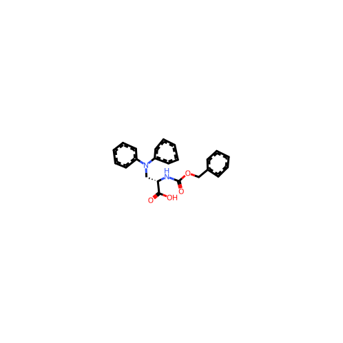 O=C(N[C@@H](CN(c1ccccc1)c1ccccc1)C(=O)O)OCc1ccccc1